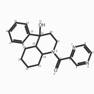 O=C(c1cnccn1)N1CCC(O)(c2ccccc2)C2CCCCC21